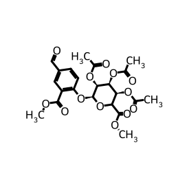 COC(=O)c1cc(C=O)ccc1O[C@@H]1OC(C(=O)OC)[C@H](OC(C)=O)[C@H](OC(C)=O)[C@@H]1OC(C)=O